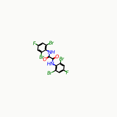 O=C(Nc1c(Br)cc(F)cc1Br)C(=O)Nc1c(Br)cc(F)cc1Br